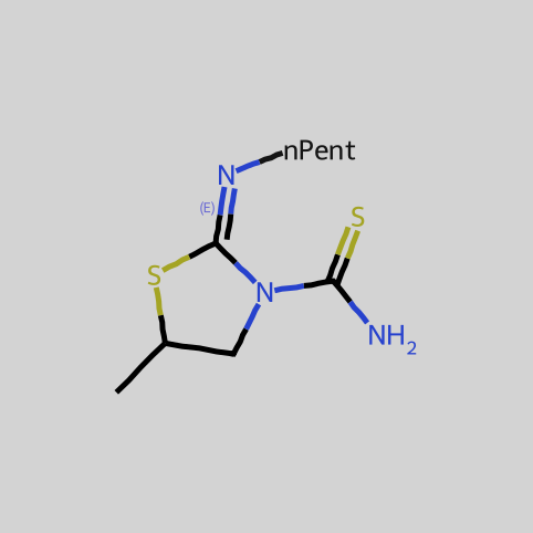 CCCCC/N=C1/SC(C)CN1C(N)=S